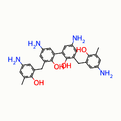 Cc1cc(N)cc(Cc2cc(N)cc(-c3cc(N)cc(Cc4cc(N)cc(C)c4O)c3O)c2O)c1O